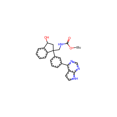 CC(C)(C)OC(=O)NCC1(c2cccc(-c3ncnc4[nH]ccc34)c2)CC(O)c2ccccc21